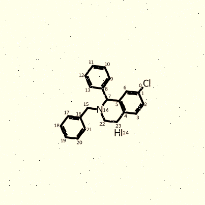 Clc1ccc2c(c1)C(c1ccccc1)N(Cc1ccccc1)CC2.I